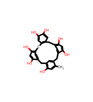 Cc1cc(O)c2cc1Cc1cc(c(O)cc1O)Cc1cc(O)c(O)cc1Cc1cc(c(O)cc1O)C2